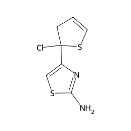 Nc1nc(C2(Cl)CC=CS2)cs1